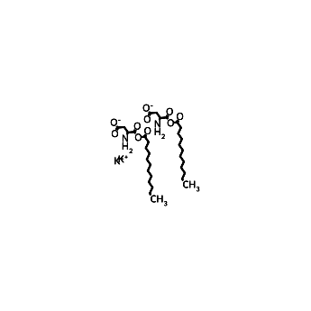 CCCCCCCCCCCC(=O)OC(=O)C(N)CC(=O)[O-].CCCCCCCCCCCC(=O)OC(=O)C(N)CC(=O)[O-].[K+].[K+]